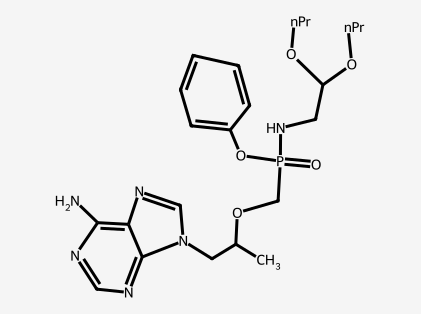 CCCOC(CNP(=O)(COC(C)Cn1cnc2c(N)ncnc21)Oc1ccccc1)OCCC